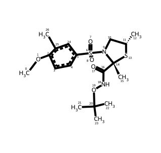 COc1ccc(S(=O)(=O)N2C[C@H](C)S[C@]2(C)C(=O)NOC(C)(C)C)cc1C